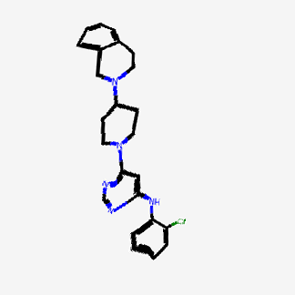 Clc1ccccc1Nc1cc(N2CCC(N3CCc4ccccc4C3)CC2)ncn1